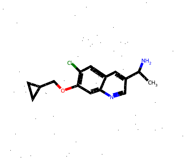 CC(N)c1cnc2cc(OCC3CC3)c(Cl)cc2c1